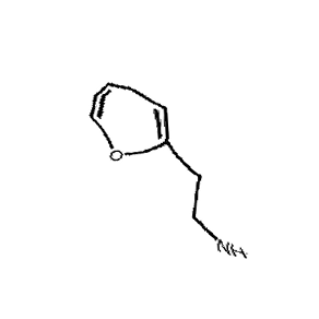 [NH]CCc1ccco1